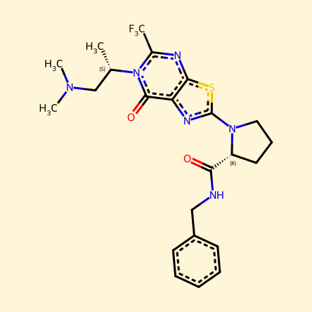 C[C@@H](CN(C)C)n1c(C(F)(F)F)nc2sc(N3CCC[C@@H]3C(=O)NCc3ccccc3)nc2c1=O